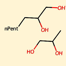 CC(O)CO.CCCCCCC(O)CO